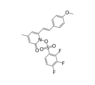 COc1ccc(C=Cc2cc(C)cc(=O)n2OS(=O)(=O)c2ccc(F)c(F)c2F)cc1